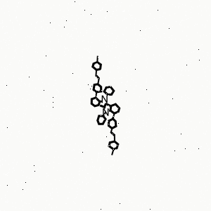 Cc1ccc(/C=C/c2ccc(-c3cccc4c3n(-c3ccccc3)c3c5cccc(-c6ccc(/C=C/c7ccc(C)cc7)cc6)c5n(-c5ccccc5)c43)cc2)cc1